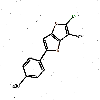 CCCCc1ccc(-c2cc3sc(Br)c(C)c3s2)cc1